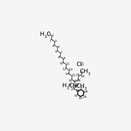 CCCCCCCCCCCCCCCCCC(CCCC)[N+](C)(C)Cc1ccccc1.[Cl-]